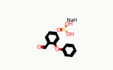 O=Cc1ccccc1Oc1ccccc1.O=S(O)O.[NaH]